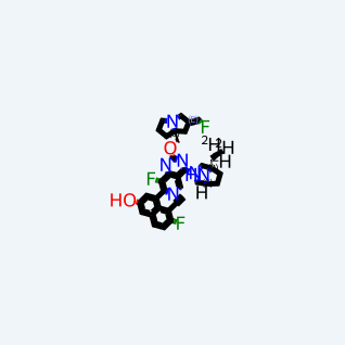 [2H]C([2H])([2H])C[C@@]12CC[C@@H](CN(c3nc(OC[C@@]45CCCN4C/C(=C/F)C5)nc4c(F)c(-c5cc(O)cc6ccc(F)c(C#C)c56)ncc34)C1)N2